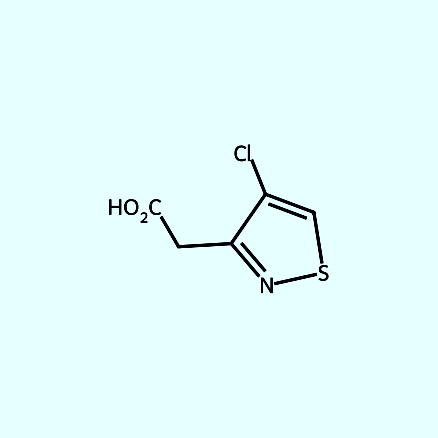 O=C(O)Cc1nscc1Cl